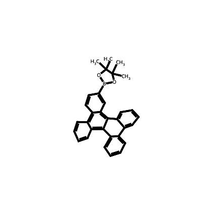 CC1(C)OB(c2ccc3c4ccccc4c4c5ccccc5c5ccccc5c4c3c2)OC1(C)C